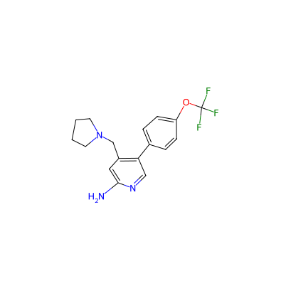 Nc1cc(CN2CCCC2)c(-c2ccc(OC(F)(F)F)cc2)cn1